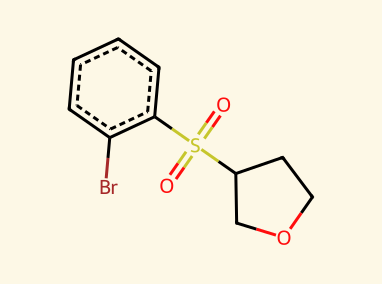 O=S(=O)(c1ccccc1Br)C1CCOC1